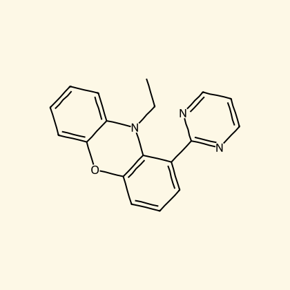 CCN1c2ccccc2Oc2cccc(-c3ncccn3)c21